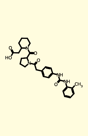 Cc1ccccc1NC(=O)Nc1ccc(CC(=O)N2CCCC2C(=O)N2CCCCC2CC(=O)O)cc1